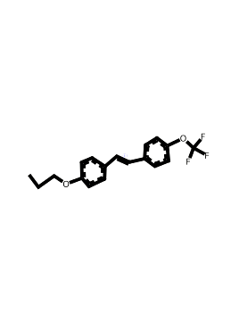 CCCOc1ccc(/C=C/c2ccc(OC(F)(F)F)cc2)cc1